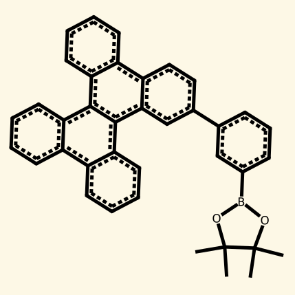 CC1(C)OB(c2cccc(-c3ccc4c5ccccc5c5c6ccccc6c6ccccc6c5c4c3)c2)OC1(C)C